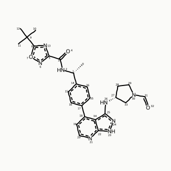 C[C@@H](NC(=O)c1noc(C(C)(C)C)n1)c1ccc(-c2ccnc3[nH]nc(N[C@@H]4CCN(C=O)C4)c23)cc1